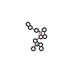 c1ccc(-c2ccccc2N(c2ccc(-c3ccc4ccccc4c3)cc2)c2cccc(-c3cccc4c3c3ccc5ccccc5c3n4-c3ccccc3)c2)cc1